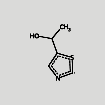 CC(O)c1cn[c]s1